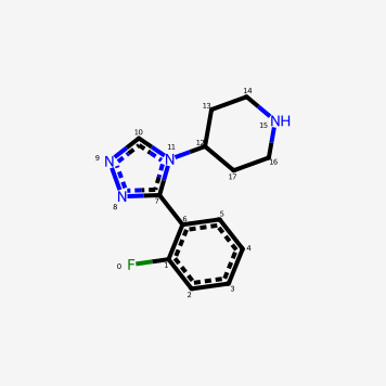 Fc1ccccc1-c1nncn1C1CCNCC1